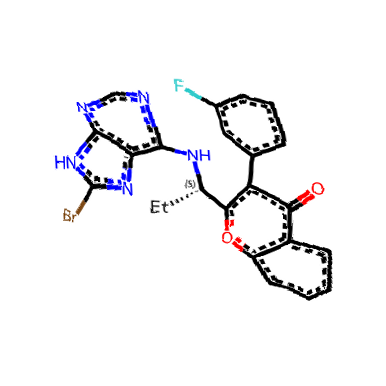 CC[C@H](Nc1ncnc2[nH]c(Br)nc12)c1oc2ccccc2c(=O)c1-c1cccc(F)c1